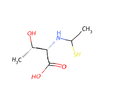 CC(S)N[C@H](C(=O)O)[C@H](C)O